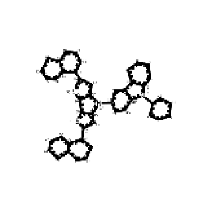 c1ccc(-n2c3ccccc3c3cc(-n4c5cc(-c6cccc7ccccc67)sc5c5sc(-c6cccc7ccccc67)cc54)ccc32)cc1